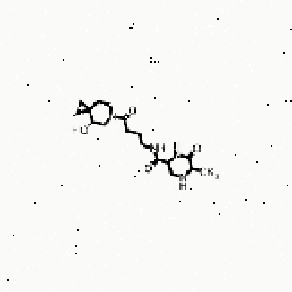 CC1NCC(C(=O)NCCCC(=O)N2CCC3(CC3)[C@H](O)C2)NC1=O